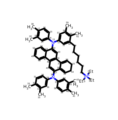 CC[N+](CC)(CC)CCCCCCc1cc(N(c2ccc(C)c(C)c2)c2cc3c4c(c(N(c5ccc(C)c(C)c5)c5ccc(C)c(C)c5)cc3c3ccccc23)=CCCC=4)cc(C)c1C